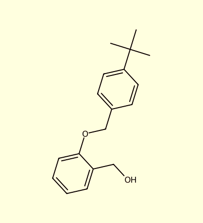 CC(C)(C)c1ccc(COc2ccccc2CO)cc1